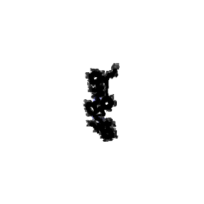 C=C(/C=C/C1=C(Sc2ccccc2)C(=C\C=C2/N(CCC)c3ccccc3C2(C)C)/CCC1)C(C)(C)c1ccccc1NCCC